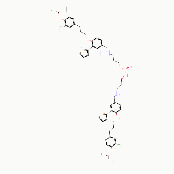 CC(C)Oc1ccc(CCCOc2ccc(CNCCCO[PH](=O)OCCCNCc3ccc(OCCCc4ccc(OC(C)C)c(F)c4)c(-c4cccs4)c3)cc2-c2cccs2)cc1F